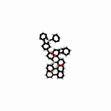 c1ccc(-n2c3ccccc3c3ccc(-c4ccc(N(c5ccccc5-c5cccc6cccc(C7CCCCC7)c56)c5ccccc5-c5cccc6sc7ccccc7c56)cc4)cc32)cc1